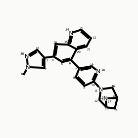 Cn1cc(-c2cc(-c3ccc(N4CC5CC(C4)N5)nc3)c3cccnc3c2)cn1